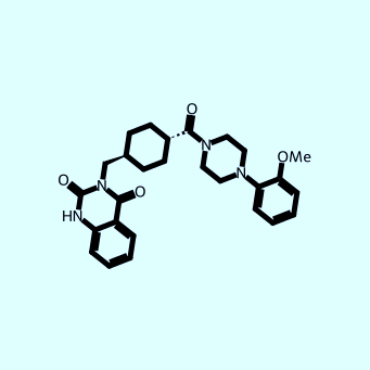 COc1ccccc1N1CCN(C(=O)[C@H]2CC[C@H](Cn3c(=O)[nH]c4ccccc4c3=O)CC2)CC1